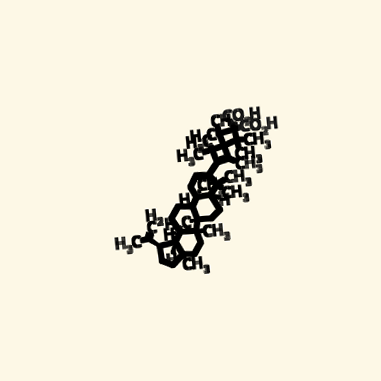 C=C(C)[C@@H]1CC[C@]2(C)CC[C@]3(C)[C@H](CC[C@@H]4[C@@]5(C)CC=C(C6=C(C)C7(C6(C)C)C(C)(C)C(C(=O)O)(C(=O)O)C7(C)C)C(C)(C)[C@@H]5CC[C@]43C)[C@@H]12